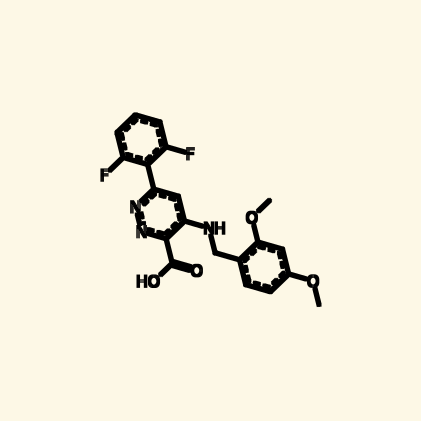 COc1ccc(CNc2cc(-c3c(F)cccc3F)nnc2C(=O)O)c(OC)c1